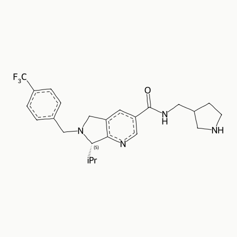 CC(C)[C@H]1c2ncc(C(=O)NCC3CCNC3)cc2CN1Cc1ccc(C(F)(F)F)cc1